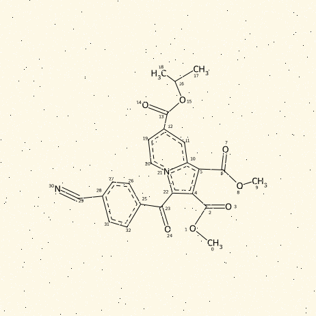 COC(=O)c1c(C(=O)OC)c2cc(C(=O)OC(C)C)ccn2c1C(=O)c1ccc(C#N)cc1